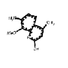 COc1c(N)ccc2c(C)cc(O)nc12